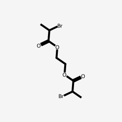 CC(Br)C(=O)OCCOC(=O)C(C)Br